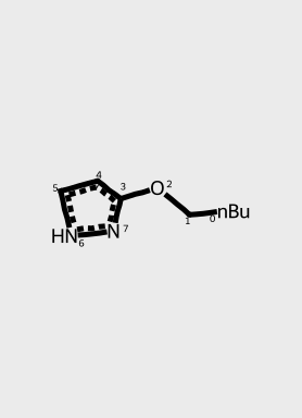 CCCCCOc1cc[nH]n1